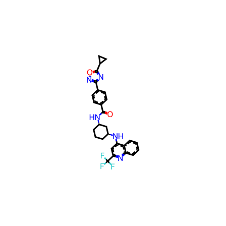 O=C(N[C@@H]1CCC[C@H](Nc2cc(C(F)(F)F)nc3ccccc23)C1)c1ccc(-c2noc(C3CC3)n2)cc1